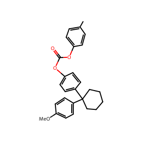 COc1ccc(C2(c3ccc(OC(=O)Oc4ccc(C)cc4)cc3)CCCCC2)cc1